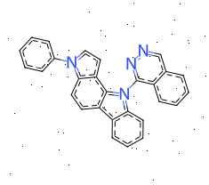 c1ccc(-n2ccc3c2ccc2c4ccccc4n(-c4nncc5ccccc45)c23)cc1